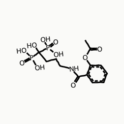 CC(=O)Oc1ccccc1C(=O)NCCCC(O)(P(=O)(O)O)P(=O)(O)O